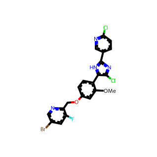 COc1cc(OCc2ncc(Br)cc2F)ccc1-c1[nH]c(-c2ccc(Cl)nc2)nc1Cl